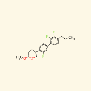 CCCc1ccc(-c2ccc(C3CCC(OC)OC3)c(F)c2)c(F)c1F